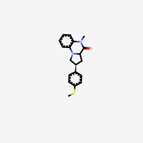 CSc1ccc([C@@H]2CC3C(=O)N(C)c4ccccc4N3C2)cc1